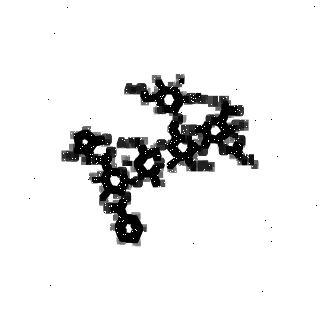 CC(=O)NC1[C@H](O[C@@H]2C(CO[C@@H]3OC(COC(C)=O)[C@@H](C)[C@H](C)C3OC(C)=O)O[C@@H](OC3C(O)OC(C(N)=O)[C@@](C)(O)[C@@H]3OC(N)=O)C(NC(C)=O)[C@H]2C)OC(C)[C@@H](O[C@@H]2OC(C(=O)NC3=C(O)CCC3=O)[C@H](C)[C@H](C)C2OC(=O)c2ccccc2)[C@@H]1C